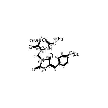 CCOc1ccc(C=C2SC(=O)N(C[C@H](NC(=O)OC(C)(C)C)C(=O)OC)C2=O)cc1